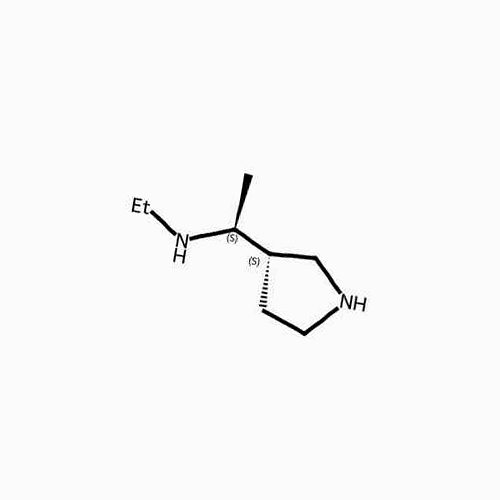 CCN[C@@H](C)[C@H]1CCNC1